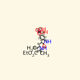 CCOC(=O)c1c(C)[nH]c(C=C2C(=O)Nc3ccc(OP(=O)(O)O)cc32)c1C